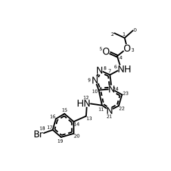 CC(C)OC(=O)Nc1nnc2c(NCc3ccc(Br)cc3)nccn12